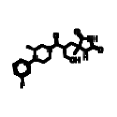 C[C@H]1CN(C(=O)C(CO)CC2(C)NC(=O)NC2=O)CCN1c1cccc(F)c1